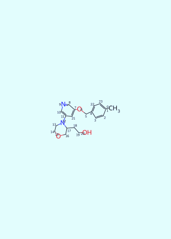 Cc1ccc(COc2cncc(N3CCOCC3CCO)c2)cc1